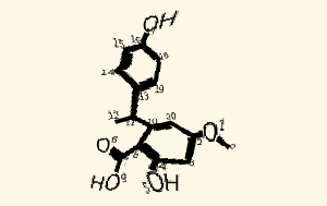 COc1cc(O)c(C(=O)O)c(C(C)c2ccc(O)cc2)c1